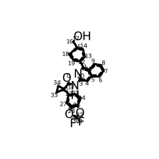 O=C(Nc1cc2ccccc2c(-c2ccc(CO)cc2)n1)C1(c2ccc3c(c2)OC(F)(F)O3)CC1